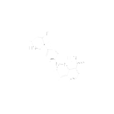 C=C(N)c1cccc2c1=NN(c1ccc(C3(C)CNCCC3F)cc1)CC=2